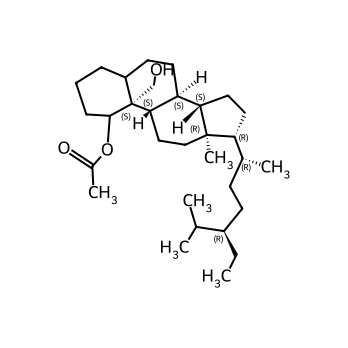 CC[C@H](CC[C@@H](C)[C@H]1CC[C@H]2[C@@H]3CCC4CCCC(OC(C)=O)[C@]4(CO)[C@H]3CC[C@]12C)C(C)C